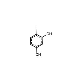 Oc1ccc(I)c(O)c1